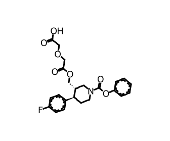 O=C(O)COCC(=O)OC[C@@H]1CN(C(=O)Oc2ccccc2)CC[C@H]1c1ccc(F)cc1